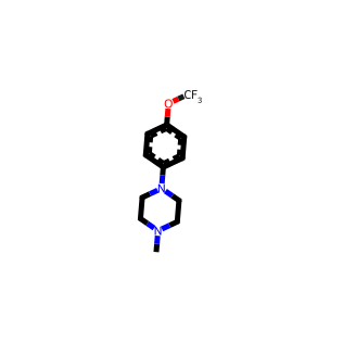 CN1CCN(c2ccc(OC(F)(F)F)cc2)CC1